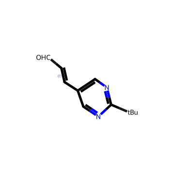 CC(C)(C)c1ncc(/C=C/C=O)cn1